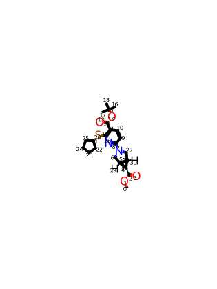 COC(=O)[C@H]1[C@@H]2CN(c3ccc(C(=O)OC(C)(C)C)c(SC4CCCC4)n3)C[C@@H]21